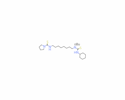 CCCCN(CCCCCCCCNC(=S)N1CCCC1)C(=S)NC1CCCCC1